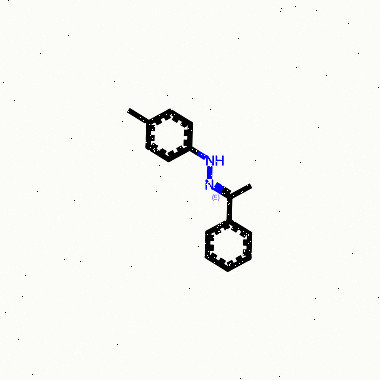 C/C(=N\Nc1ccc(C)cc1)c1ccccc1